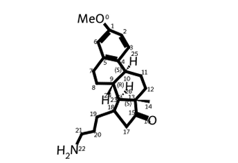 COc1ccc2c(c1)CC[C@@H]1[C@@H]2CC[C@]2(C)C(=O)CC(CCCN)[C@@H]12